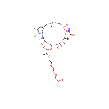 CNC(=O)COCCOCCO[C@@H](C)C(=O)O[C@H]1CC(=O)N(C)c2cc(cc(C)c2Cl)C/C(C)=C/C=C/[C@@H](OC)[C@@]2(O)C[C@H](OC(=O)N2)[C@@H](C)[C@@H]2O[C@@]12C